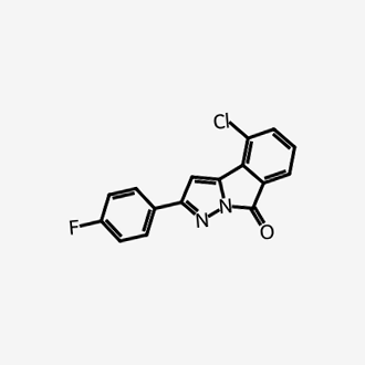 O=C1c2cccc(Cl)c2-c2cc(-c3ccc(F)cc3)nn21